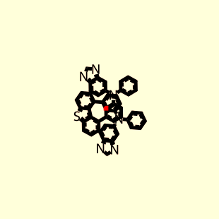 c1ccc(N(c2cccc(-c3cccc4sc5cccc(-c6cccc(N(c7ccccc7)c7ccc8c(c7)=NCN=8)c6)c5c34)c2)c2ccc3c(c2)=NCN=3)cc1